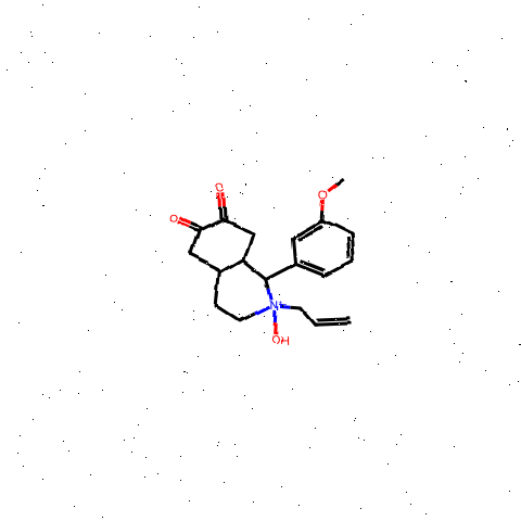 C=CC[N+]1(O)CCC2CC(=O)C(=O)CC2C1c1cccc(OC)c1